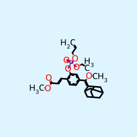 C=CCOP(=O)(OCC)Oc1cc(C(OC)=C2C3CC4CC(C3)CC2C4)ccc1/C=C/C(=O)OC